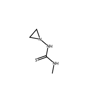 CNC(=S)NN1CC1